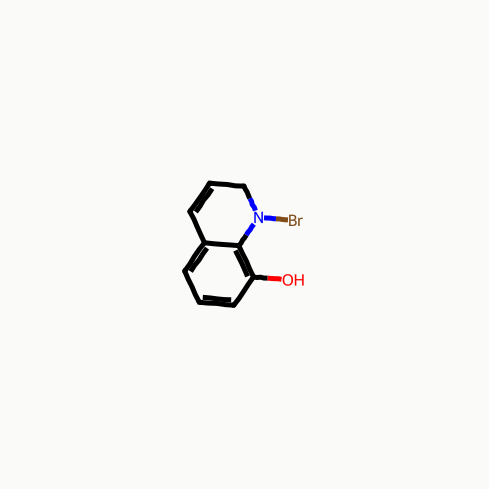 Oc1cccc2c1N(Br)CC=C2